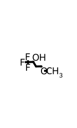 COCCC(O)C(F)(F)F